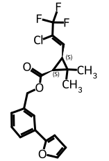 CC1(C)[C@H](C=C(Cl)C(F)(F)F)[C@@H]1C(=O)OCc1cccc(-c2ccco2)c1